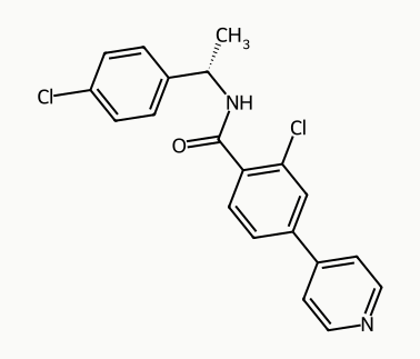 C[C@H](NC(=O)c1ccc(-c2ccncc2)cc1Cl)c1ccc(Cl)cc1